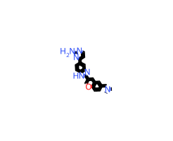 CN(C)Cc1ccc2c(c1)CC(c1nc3cc(-c4ccnc(N)n4)ccc3[nH]1)CO2